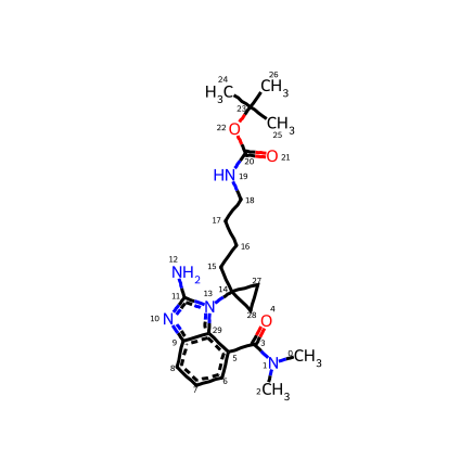 CN(C)C(=O)c1cccc2nc(N)n(C3(CCCCNC(=O)OC(C)(C)C)CC3)c12